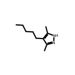 CCCCCc1c(C)n[nH]c1C